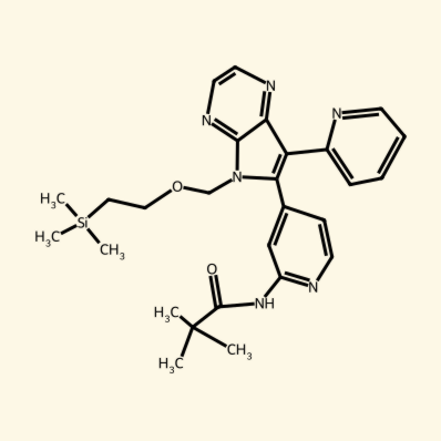 CC(C)(C)C(=O)Nc1cc(-c2c(-c3ccccn3)c3nccnc3n2COCC[Si](C)(C)C)ccn1